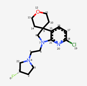 F[C@H]1CCN(CCN2CC3(CCOCC3)c3ccc(Cl)nc32)C1